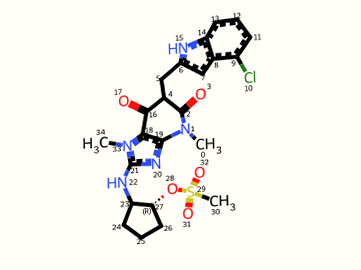 CN1C(=O)C(Cc2cc3c(Cl)cccc3[nH]2)C(=O)c2c1nc(NC1CCC[C@H]1OS(C)(=O)=O)n2C